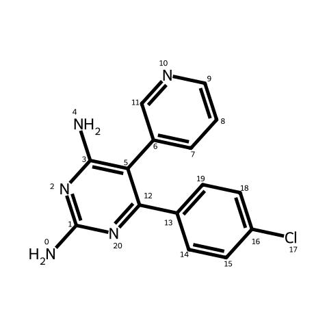 Nc1nc(N)c(-c2cccnc2)c(-c2ccc(Cl)cc2)n1